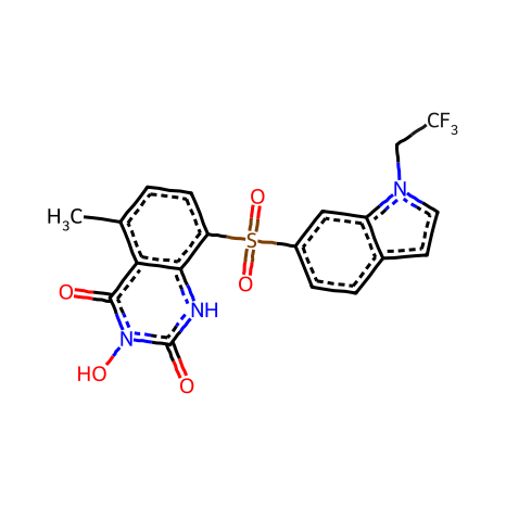 Cc1ccc(S(=O)(=O)c2ccc3ccn(CC(F)(F)F)c3c2)c2[nH]c(=O)n(O)c(=O)c12